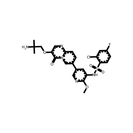 COc1ncc(-c2ccc3ncc(OCC(C)(C)N)c(=O)n3c2)cc1NS(=O)(=O)c1ccc(F)cc1Cl